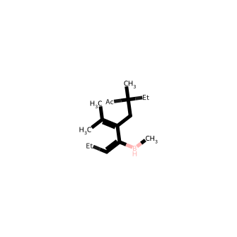 CB/C(=C/CC)C(CC(C)(CC)C(C)=O)=C(C)C